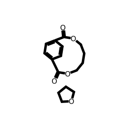 C1CCOC1.O=C1OCCCCOC(=O)c2ccc1cc2